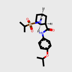 CC(C)Oc1ccc(NC(=O)[C@@H]2C[C@@H]3CC[C@H]2N(S(=O)(=O)C(C)C)C3)cc1